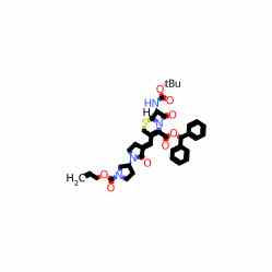 C=CCOC(=O)N1CC[C@H](N2CCC(=CC3=C(C(=O)OC(c4ccccc4)c4ccccc4)N4C(=O)[C@@H](NC(=O)OC(C)(C)C)[C@H]4SC3)C2=O)C1